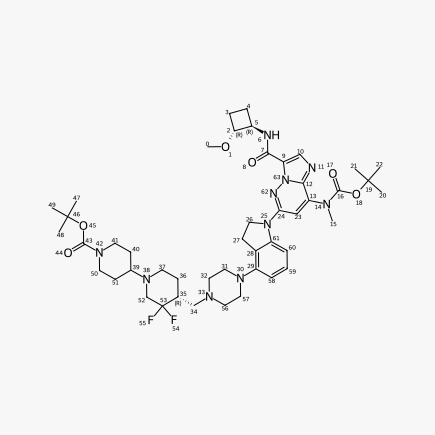 CO[C@@H]1CC[C@H]1NC(=O)c1cnc2c(N(C)C(=O)OC(C)(C)C)cc(N3CCc4c(N5CCN(C[C@H]6CCN(C7CCN(C(=O)OC(C)(C)C)CC7)CC6(F)F)CC5)cccc43)nn12